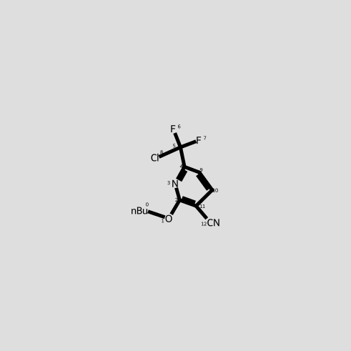 CCCCOc1nc(C(F)(F)Cl)ccc1C#N